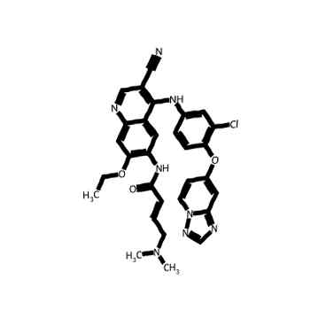 CCOc1cc2ncc(C#N)c(Nc3ccc(Oc4ccn5ncnc5c4)c(Cl)c3)c2cc1NC(=O)/C=C/CN(C)C